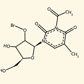 CC(=O)n1c(=O)c(C)cn([C@H]2O[C@@H](CO)C(O)C2OBr)c1=O